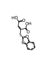 O=C(O)C=C(Sc1nc2ccccc2o1)C(=O)O